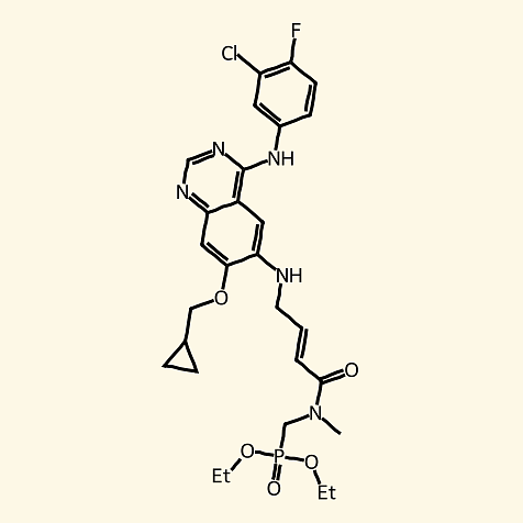 CCOP(=O)(CN(C)C(=O)C=CCNc1cc2c(Nc3ccc(F)c(Cl)c3)ncnc2cc1OCC1CC1)OCC